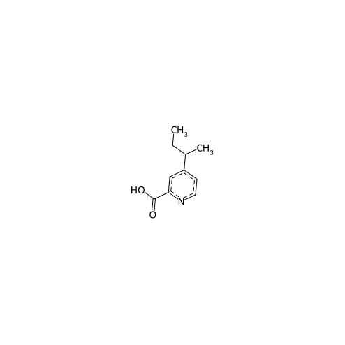 CCC(C)c1ccnc(C(=O)O)c1